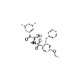 CCOc1ccc(S(=O)(=O)NN(O)C(=O)c2cc(C)cc(C)c2)c(Cc2ccccc2)c1